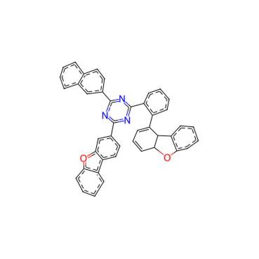 C1=CC2Oc3ccccc3C2C(c2ccccc2-c2nc(-c3ccc4ccccc4c3)nc(-c3ccc4c(c3)oc3ccccc34)n2)=C1